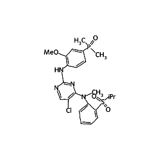 COc1cc(P(C)(C)=O)ccc1Nc1ncc(Cl)c(N(C)c2ccccc2S(=O)(=O)C(C)C)n1